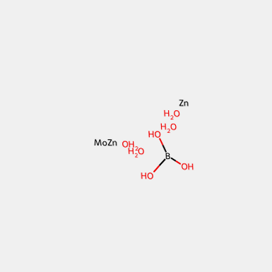 O.O.O.O.OB(O)O.[Mo].[Zn].[Zn]